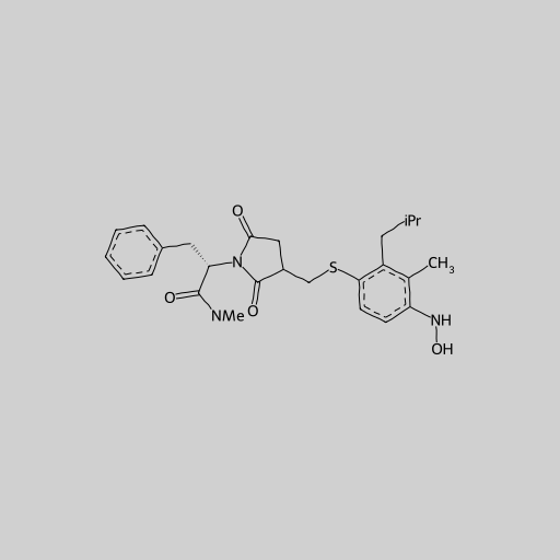 CNC(=O)[C@H](Cc1ccccc1)N1C(=O)CC(CSc2ccc(NO)c(C)c2CC(C)C)C1=O